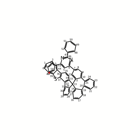 c1ccc(-c2cc(-c3ccc4c(c3)C3(c5ccccc5-c5ccccc5-4)c4ccccc4-c4c3ccc3c4sc4ccccc43)nc(-c3ccccc3)n2)cc1